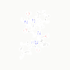 Cc1cccc(C(=O)N[C@@H](C(=O)N2CCC3(CC2)C(=O)N(C)C(=O)N3c2ccccc2)C(C)C)c1